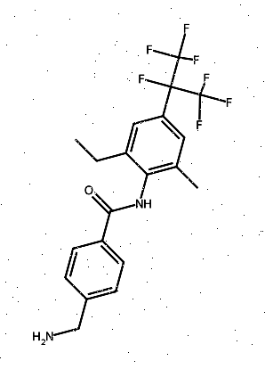 CCc1cc(C(F)(C(F)(F)F)C(F)(F)F)cc(C)c1NC(=O)c1ccc(CN)cc1